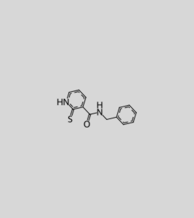 O=C(NCc1ccccc1)c1ccc[nH]c1=S